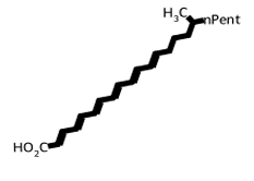 CCCCCC(C)CCCC=CC=CC=CC=CC=CC=CC(=O)O